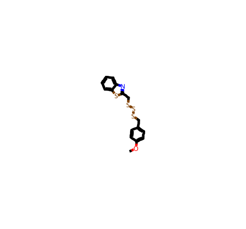 COc1ccc(CSSSCc2nc3ccccc3s2)cc1